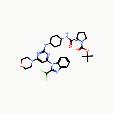 CC(C)(C)OC(=O)N1CCC[C@@H]1C(=O)N[C@H]1CC[C@H](Nc2nc(N3CCOCC3)cc(-n3c(C(F)F)nc4ccccc43)n2)CC1